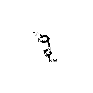 CNc1cn(Cc2ccc(C(F)(F)F)nc2)cn1